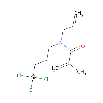 C=CCN(CCC[Si](Cl)(Cl)Cl)C(=O)C(=C)C